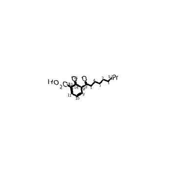 CC(C)CCCCCC(=O)C1C=CC=C(C(=O)O)C1=O